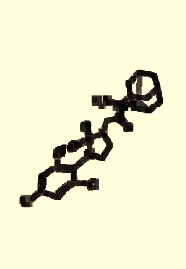 NC(=O)C12CC3CC(C1)C(NC(=O)CN1CCN(c4c(Cl)cc(Cl)cc4Cl)S1(=O)=O)C(C3)C2